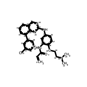 C=CC(=O)Nc1cc(Nc2ncc3cccc(-c4cncc(Cl)c4)c3n2)ccc1OCCN(C)C